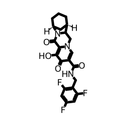 O=C(NCc1c(F)cc(F)cc1F)c1cn2c(c(O)c1=O)C(=O)N1C(C2)[C@@H]2CCC[C@H]1C2